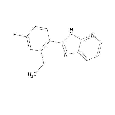 CCc1cc(F)ccc1-c1nc2cccnc2[nH]1